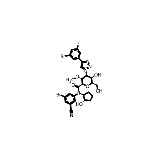 CO[C@@H]1[C@@H](n2cc(-c3cc(F)cc(Br)c3)nn2)[C@@H](O)[C@@H](CO)O[C@H]1C(=O)N(c1cc(Br)cc(C#N)c1)[C@H]1CCC[C@@H]1O